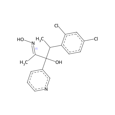 C/C(=N\O)C(O)(c1cccnc1)C(C)c1ccc(Cl)cc1Cl